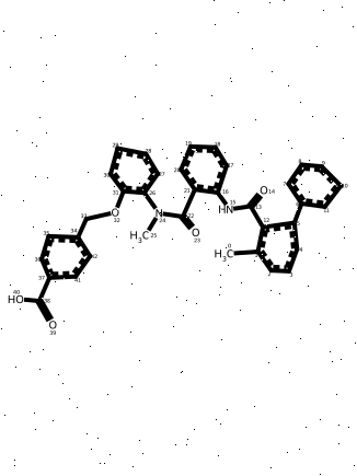 Cc1cccc(-c2ccccc2)c1C(=O)Nc1ccccc1C(=O)N(C)c1ccccc1OCc1ccc(C(=O)O)cc1